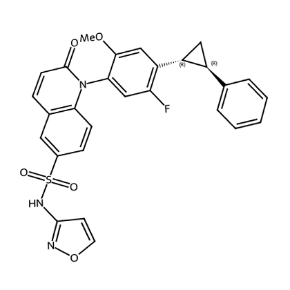 COc1cc([C@@H]2C[C@H]2c2ccccc2)c(F)cc1-n1c(=O)ccc2cc(S(=O)(=O)Nc3ccon3)ccc21